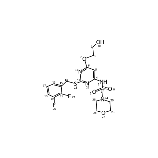 O=S(=O)(Nc1cc(OCCO)nc(SCc2cccc(F)c2F)n1)N1CCOCC1